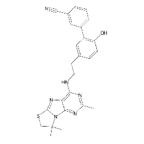 Cc1nc(NCCc2ccc(O)c(-c3cccc(C#N)c3)c2)c2nc3n(c2n1)C(C)(C)CS3